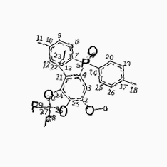 COc1cc(P(=O)(c2ccc(C)cc2)c2ccc(C)cc2)c(CI)c2c1OC(F)(F)O2